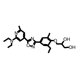 CCc1cc(-c2noc(-c3cc(C)nc(N(CC)CC)c3)n2)cc(C)c1OCC(O)CO